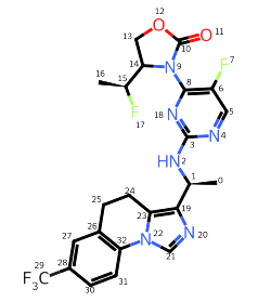 C[C@H](Nc1ncc(F)c(N2C(=O)OCC2[C@H](C)F)n1)c1ncn2c1CCc1cc(C(F)(F)F)ccc1-2